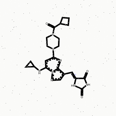 O=C1NC(=O)/C(=C/c2cnn3c(NC4CC4)cc(N4CCN(C(=O)C5CCC5)CC4)nc23)N1